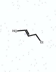 CCC/C=C/O